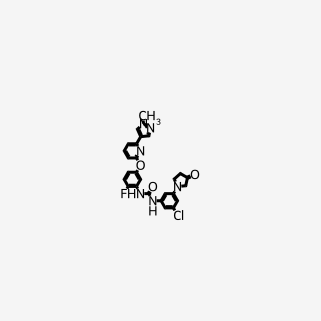 Cn1cc(-c2cccc(Oc3ccc(F)c(NC(=O)Nc4cc(Cl)cc(N5CCC(=O)C5)c4)c3)n2)cn1